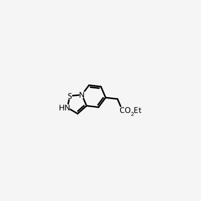 CCOC(=O)CC1=CC2=CNSN2C=C1